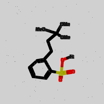 CCOS(=O)(=O)c1ccccc1CC[Si](OC)(OC)OC